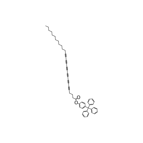 CCCCCCCCCCCCC#CC#CC#CC#CC#CC#CCCCC(=O)Oc1ccc(C(c2ccccc2)(c2ccccc2)c2ccccc2)cc1